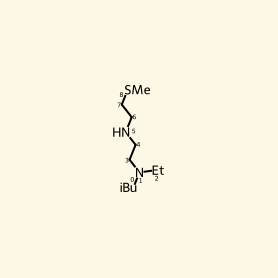 CCC(C)N(CC)CCNCCSC